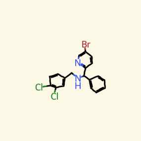 Clc1ccc(CNC(c2ccccc2)c2ccc(Br)cn2)cc1Cl